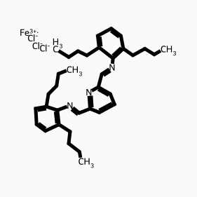 CCCCc1cccc(CCCC)c1N=Cc1cccc(C=Nc2c(CCCC)cccc2CCCC)n1.[Cl-].[Cl-].[Cl-].[Fe+3]